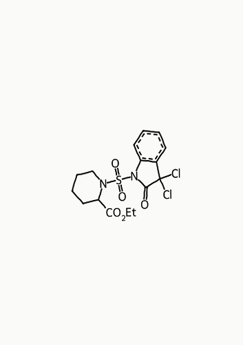 CCOC(=O)C1CCCCN1S(=O)(=O)N1C(=O)C(Cl)(Cl)c2ccccc21